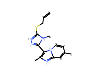 C=CCSc1nnc(-c2c(C)nc3cc(C)ccn23)n1C